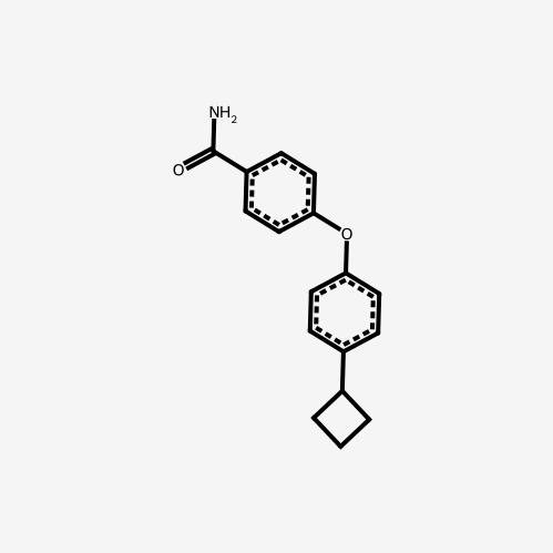 NC(=O)c1ccc(Oc2ccc(C3CCC3)cc2)cc1